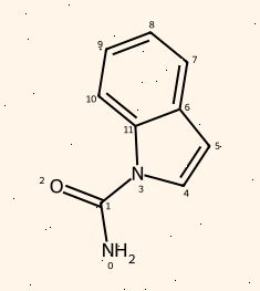 NC(=O)n1ccc2cc[c]cc21